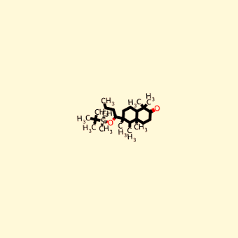 CCCC(O[Si](C)(C)C(C)(C)C)C1(C)CCC2C(C)(C)C(=O)CCC2(C)C1C